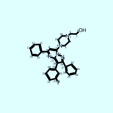 OCCN1CCN(c2cc(-c3ccccc3)nc3c(-c4cccc(F)c4)c(-c4ccccc4)nn23)CC1